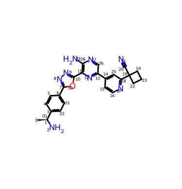 C[C@H](N)c1ccc(-c2nnc(-c3nc(-c4ccnc(C5(C#N)CCC5)c4)cnc3N)o2)cc1